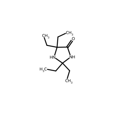 CCC1(CC)NC(=O)C(CC)(CC)N1